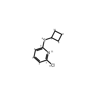 Clc1cccc(SC2CCC2)n1